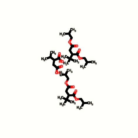 CC(C)C(CC(=O)O)C(=O)O.CC(C)COC(=O)CC(C(=O)OCC(C)C)C(C)(C)C.CC(C)COC(=O)CC(C(=O)OCC(C)C)C(C)(C)C